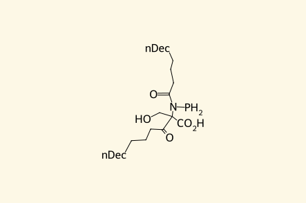 CCCCCCCCCCCCCC(=O)N(P)C(CO)(C(=O)O)C(=O)CCCCCCCCCCCCC